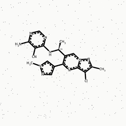 Cc1nn2cc([C@H](C)Nc3ncnc(N)c3C#N)c(-c3cnn(C)c3)nc2c1Cl